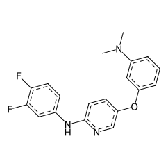 CN(C)c1cccc(Oc2ccc(Nc3ccc(F)c(F)c3)nc2)c1